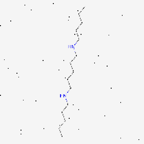 CCCCCNCCCCCNCCCCC